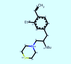 C=Cc1ccc(CC(CCCC)CN2CCSCC2)cc1CC